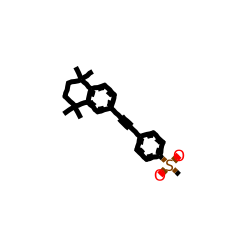 CC1(C)CCC(C)(C)c2cc(C#Cc3ccc(S(C)(=O)=O)cc3)ccc21